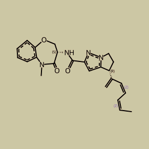 C=C(/C=C\C=C/C)[C@H]1CCn2nc(C(=O)N[C@H]3COc4ccccc4N(C)C3=O)cc21